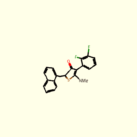 CNC1=C(c2cccc(F)c2F)C(=O)C(c2cccc3ccccc23)S1